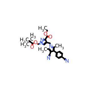 CCOC(=O)c1nn(COC(=O)C(C)(C)C)cc1Cn1c(C)c(C#N)c(-c2ccc(C#N)cc2)c1C